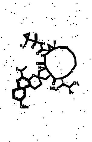 COc1ccc2nc(C(F)F)c3c(c2c1)CC[C@]1(C[C@H]2C(=O)N[C@]4(C(=O)NS(=O)(=O)C5(C)CC5)C[C@H]4/C=C\CCCCC[C@H](N(C(=O)O)[C@H](C)C(C)C)C(=O)N2C1)O3